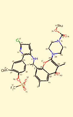 Cc1cc(C(C)Nc2ccc(Cl)nc2-c2ccc(OS(=O)(=O)C(F)(F)F)c(C=O)c2)c2oc(N3CCN(C(=O)OC(C)(C)C)CC3)c(C)c(=O)c2c1